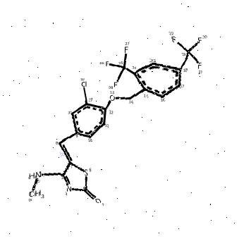 CNC1=NC(=O)S/C1=C\c1ccc(OCc2ccc(C(F)(F)F)cc2C(F)(F)F)c(Cl)c1